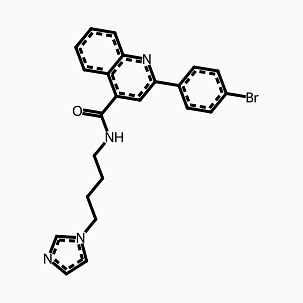 O=C(NCCCCn1ccnc1)c1cc(-c2ccc(Br)cc2)nc2ccccc12